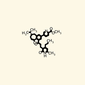 CCCc1cc(C)[nH]c(=O)c1CCC(=O)c1cc(-c2ccc(C(=O)OC)nc2)cc2c1C(C)=CC[C@@H](C(C)C)C2